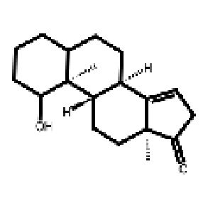 C[C@]12CC[C@H]3[C@@H](CCC4CCCC(O)[C@@]43C)C1=CCC2=O